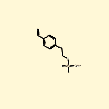 C=Cc1ccc(CCO[Si](C)(C)OC)cc1